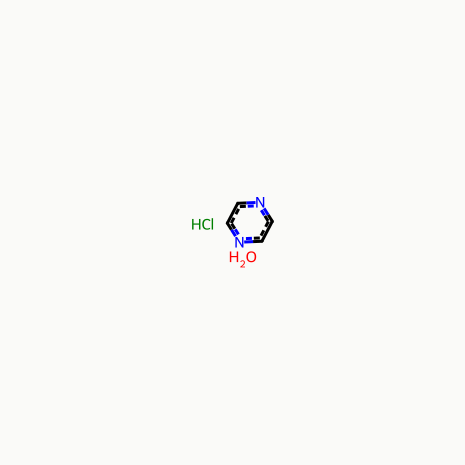 Cl.O.c1cnccn1